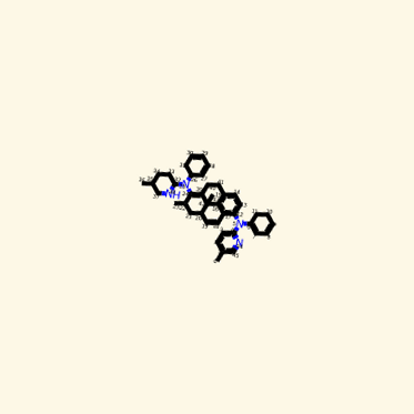 Cc1ccc(N(C2=CC=CCC2)c2ccc3c4c2C=CC2CC(C)C(N(C5C=CC=CC5)C5CCC(C)CN5)=C(CC3)C42C)nc1